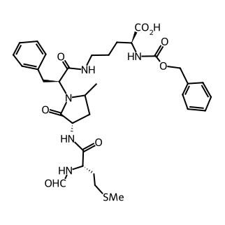 CSCC[C@H](NC=O)C(=O)N[C@H]1CC(C)N([C@@H](Cc2ccccc2)C(=O)NCCC[C@H](NC(=O)OCc2ccccc2)C(=O)O)C1=O